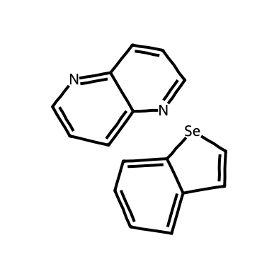 c1ccc2[se]ccc2c1.c1cnc2cccnc2c1